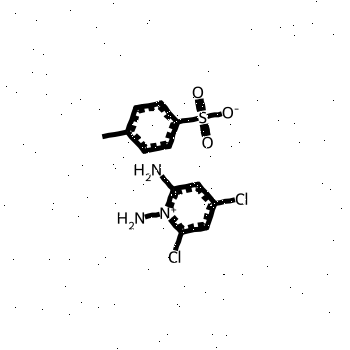 Cc1ccc(S(=O)(=O)[O-])cc1.Nc1cc(Cl)cc(Cl)[n+]1N